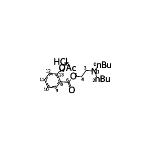 CCCCN(CCCC)CCOC(=O)c1ccccc1OC(C)=O.Cl